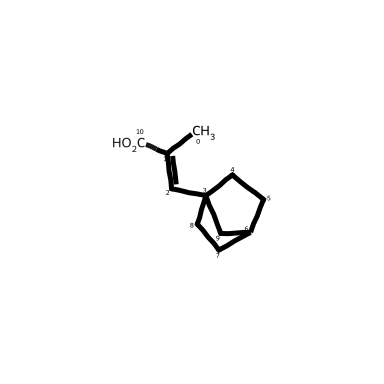 C/C(=C\C12CCC(CC1)C2)C(=O)O